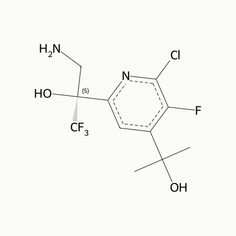 CC(C)(O)c1cc([C@@](O)(CN)C(F)(F)F)nc(Cl)c1F